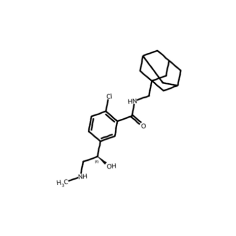 CNC[C@H](O)c1ccc(Cl)c(C(=O)NCC23CC4CC(CC(C4)C2)C3)c1